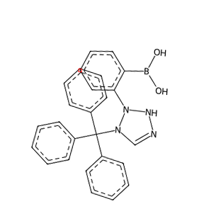 OB(O)c1ccccc1N1NN=CN1C(c1ccccc1)(c1ccccc1)c1ccccc1